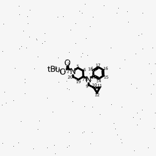 CC(C)(C)OC(=O)N1CCC(N(CC2CC2)c2ccccc2)CC1